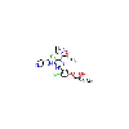 CNC[C@@H](O)COc1ccc(Cl)c(-c2nc(-c3c(C)noc3C)c(Cl)c(N3Cc4ccncc4C3)n2)c1